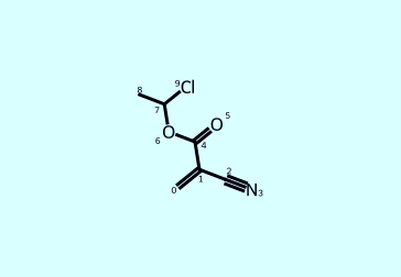 C=C(C#N)C(=O)OC(C)Cl